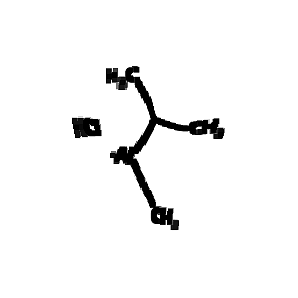 Cl.[CH3][Al][CH](C)C